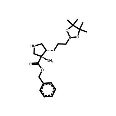 CC1(C)OB(CCC[C@H]2CNC[C@@]2(N)C(=O)OCc2ccccc2)OC1(C)C